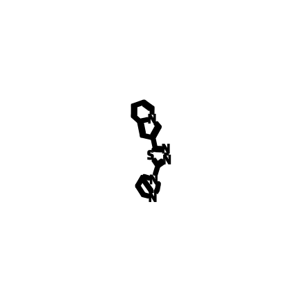 c1ccn2cc(-c3nnc(N4CCN5CCC4CC5)s3)cc2c1